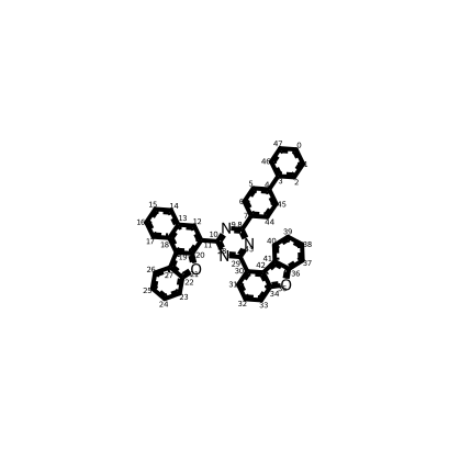 c1ccc(-c2ccc(-c3nc(-c4cc5ccccc5c5c4oc4ccccc45)nc(-c4cccc5oc6ccccc6c45)n3)cc2)cc1